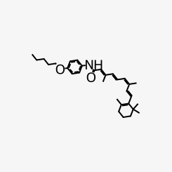 CCCCCOc1ccc(NC(=O)/C=C(C)/C=C/C=C(C)\C=C\C2=C(C)CCCC2(C)C)cc1